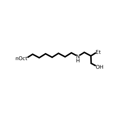 CCCCCCCCCCCCCCCNCC(CC)CO